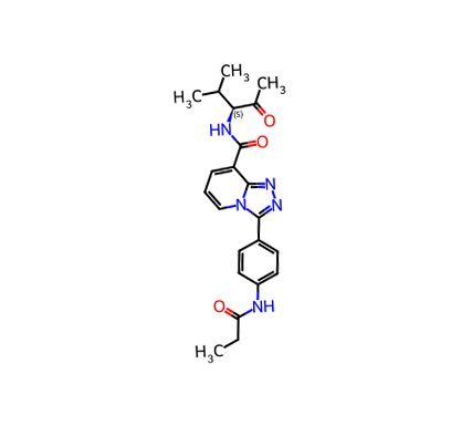 CCC(=O)Nc1ccc(-c2nnc3c(C(=O)N[C@H](C(C)=O)C(C)C)cccn23)cc1